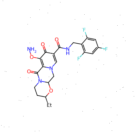 CCC1CCN2C(=O)c3c(ON)c(=O)c(C(=O)NCc4c(F)cc(F)cc4F)cn3CC2O1